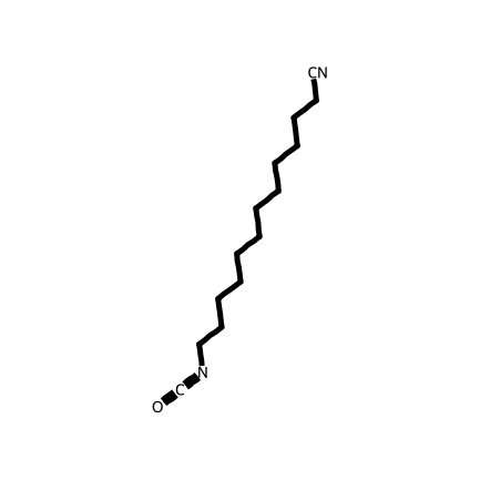 N#CCCCCCCCCCCCCN=C=O